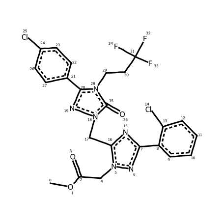 COC(=O)Cn1nc(-c2ccccc2Cl)nc1Cn1nc(-c2ccc(Cl)cc2)n(CCC(F)(F)F)c1=O